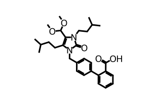 COC(OC)c1c(CCC(C)C)n(Cc2ccc(-c3ccccc3C(=O)O)cc2)c(=O)n1CCC(C)C